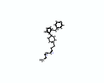 C=C/C=N\C=C/CCN1CCC(c2[nH]ncc2Cc2ccncc2)CC1